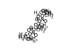 CC1(C)c2cc(N(c3ccccc3)c3ccc4c(c3)C(C)(C)C(C)(C)C4(C)C)c3c(oc4ccccc43)c2-c2ccc3c(c21)C(C)(C)c1cc(N(c2ccccc2)c2ccc4c(c2)C(C)(C)C(C)(C)C4(C)C)c2c(oc4ccccc42)c1-3